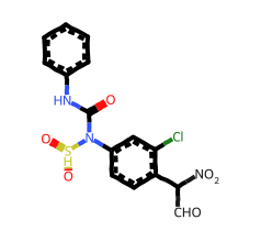 O=CC(c1ccc(N(C(=O)Nc2ccccc2)[SH](=O)=O)cc1Cl)[N+](=O)[O-]